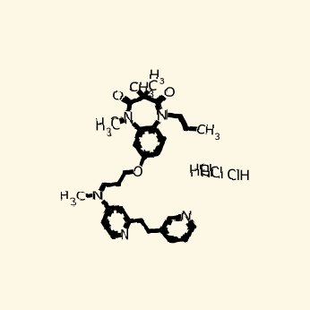 CCCN1C(=O)C(C)(C)C(=O)N(C)c2cc(OCCCN(C)c3ccnc(CCc4cccnc4)c3)ccc21.Cl.Cl.Cl